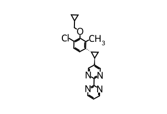 Cc1c([C@@H]2C[C@H]2c2cnc(-c3ncccn3)nc2)ccc(Cl)c1OCC1CC1